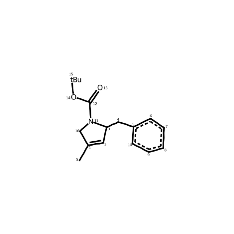 CC1=CC(Cc2ccccc2)N(C(=O)OC(C)(C)C)C1